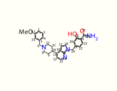 COc1cccc(CN2CCC(c3ccnc4c3ccn4Cc3ccc(C(N)=O)c(O)c3)CC2)c1